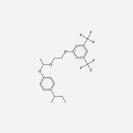 CCC(C)c1ccc(OC(C)OCCOc2cc(C(F)(F)F)cc(C(F)(F)F)c2)cc1